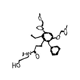 CCc1c(OCOC)cc(OCOC)c(-c2ccccc2)c1CCC(=O)NCCO